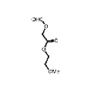 COCCOC(=O)CO[C]=O